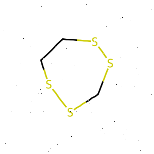 C1CSSCSS1